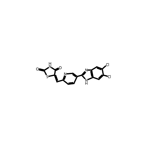 O=C1NC(=O)/C(=C\c2ccc(-c3nc4cc(Cl)c(Cl)cc4[nH]3)cn2)S1